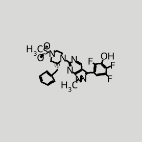 Cn1nc(-c2cc(F)c(F)c(O)c2F)c2cnc(N3CCN(S(C)(=O)=O)C[C@H]3Cc3ccccc3)nc21